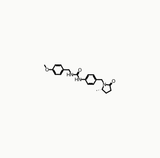 COc1ccc(CNC(=O)Nc2ccc(CN3C(=O)CC[C@@H]3C)cc2)cc1